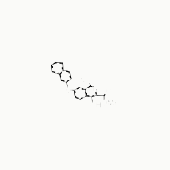 COC(=O)c1nc(C#N)c2cc(Oc3ccc4ccccc4c3)ccc2c1O